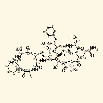 CC[C@H](C)[C@H](NC(=O)[C@@H](Cc1ccccc1)NC)C(=O)N[C@@H](CO)C(=O)N[C@H](CCC(N)=O)C(=O)N[C@@H](C(=O)N[C@H](C(=O)N[C@@H](CO)C(=O)N[C@H]1C(=O)N[C@@H](C)C(=O)NC2(CCCCCC2)C(=O)N[C@@H]([C@@H](C)CC)C(=O)N[C@H]1C)[C@@H](C)CC)[C@@H](C)CC